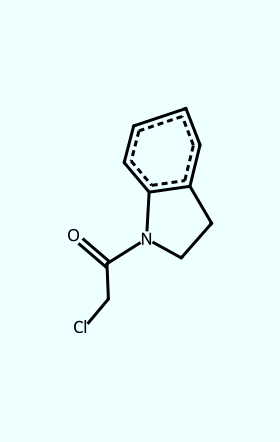 O=C(CCl)N1CCc2ccccc21